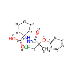 CC(CCl)(Oc1ccccc1)C(=O)NC1(C(=O)O)CCCCC1